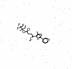 C=C=C(CCC(=O)OC(C)(CC)C(F)(F)F)c1sc(-c2cccnc2)nc1C